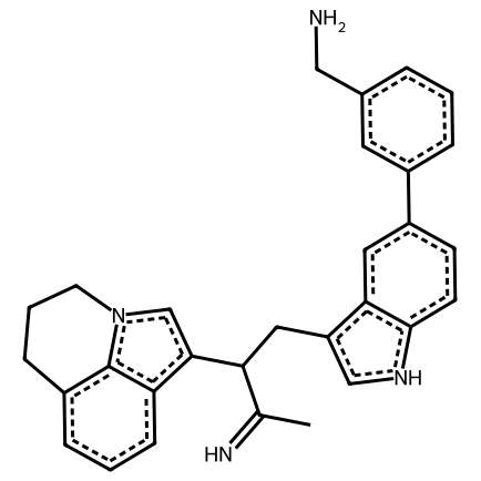 CC(=N)C(Cc1c[nH]c2ccc(-c3cccc(CN)c3)cc12)c1cn2c3c(cccc13)CCC2